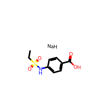 CCS(=O)(=O)Nc1ccc(C(=O)O)cc1.[NaH]